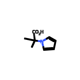 CC(C)(C(=O)O)n1cccc1